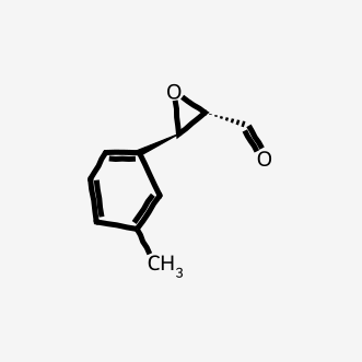 Cc1cccc([C@H]2O[C@@H]2C=O)c1